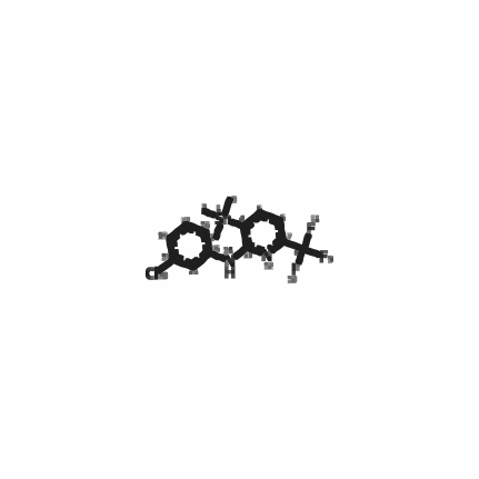 [CH3][Sn]([CH3])([CH3])[c]1ccc(C(F)(F)F)nc1Nc1cccc(Cl)c1